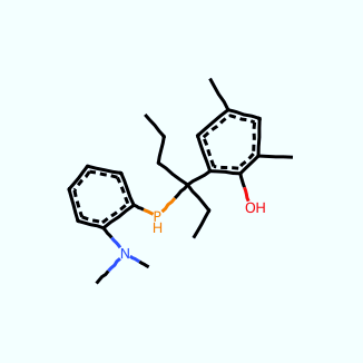 CCCC(CC)(Pc1ccccc1N(C)C)c1cc(C)cc(C)c1O